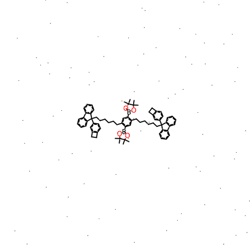 CC1(C)OB(c2cc(CCCCCCC3(c4ccc5c(c4)CC5)c4ccccc4-c4ccccc43)c(B3OC(C)(C)C(C)(C)O3)cc2CCCCCCC2(c3ccc4c(c3)CC4)c3ccccc3-c3ccccc32)OC1(C)C